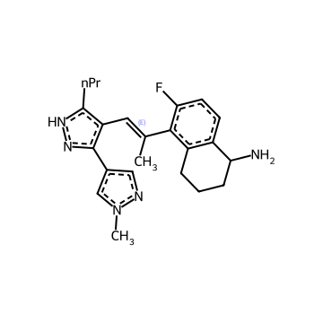 CCCc1[nH]nc(-c2cnn(C)c2)c1/C=C(\C)c1c(F)ccc2c1CCCC2N